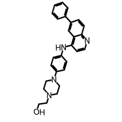 OCCN1CCN(c2ccc(Nc3ccnc4ccc(-c5ccccc5)cc34)cc2)CC1